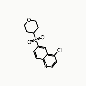 O=S(=O)(c1ccc2nccc(Cl)c2c1)C1CCOCC1